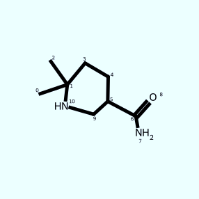 CC1(C)CCC(C(N)=O)CN1